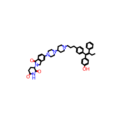 CCC(=C(c1ccc(O)cc1)c1ccc(CCCN2CCC(N3CCN(c4ccc5c(c4)CN(C4CCC(=O)NC4=O)C5=O)CC3)CC2)cc1)c1ccccc1